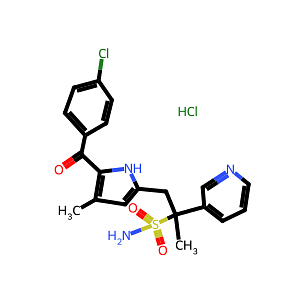 Cc1cc(CC(C)(c2cccnc2)S(N)(=O)=O)[nH]c1C(=O)c1ccc(Cl)cc1.Cl